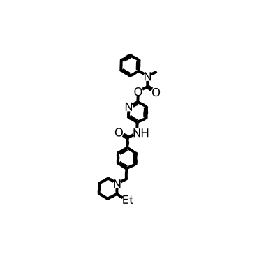 CCC1CCCCN1Cc1ccc(C(=O)Nc2ccc(OC(=O)N(C)c3ccccc3)nc2)cc1